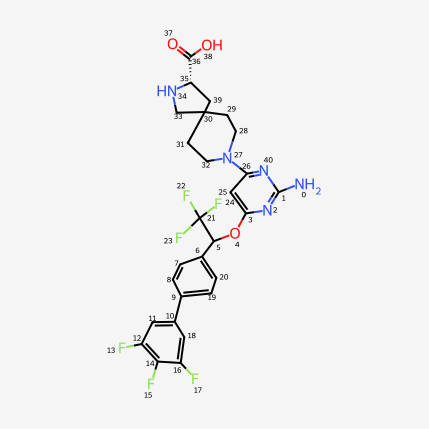 Nc1nc(OC(c2ccc(-c3cc(F)c(F)c(F)c3)cc2)C(F)(F)F)cc(N2CCC3(CC2)CN[C@H](C(=O)O)C3)n1